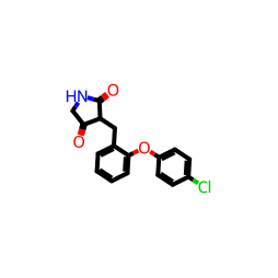 O=C1CNC(=O)C1Cc1ccccc1Oc1ccc(Cl)cc1